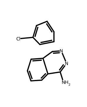 Clc1ccccc1.Nc1nncc2ccccc12